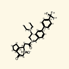 CCN(CC)CCN(Cc1ccc(-c2ccc(C(F)(F)F)cc2)cc1)C(=O)CC1C2=C(CCC2)C(=O)C[NH+]1[O-]